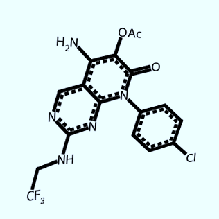 CC(=O)Oc1c(N)c2cnc(NCC(F)(F)F)nc2n(-c2ccc(Cl)cc2)c1=O